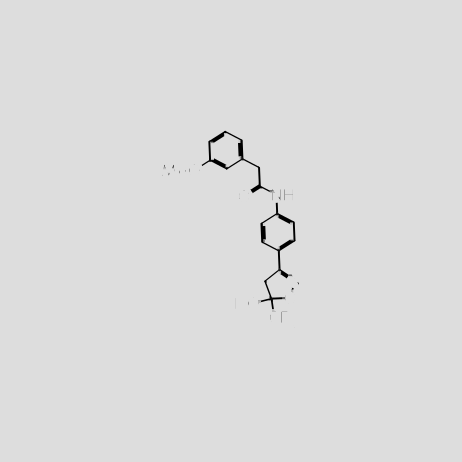 COc1cccc(CC(=O)Nc2ccc(C3=NOC(O)(C(F)(F)F)C3)cc2)c1